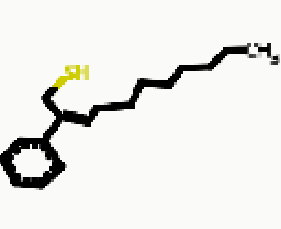 CCCCCCCCC=C(CS)c1ccccc1